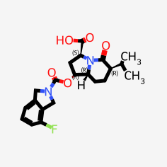 CC(C)[C@H]1CC[C@@H]2[C@H](OC(=O)N3Cc4cccc(F)c4C3)C[C@@H](C(=O)O)N2C1=O